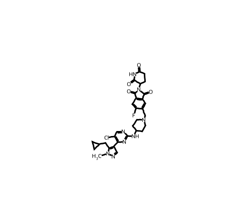 Cn1ncc(-c2nc(NC3CCN(Cc4cc5c(cc4F)C(=O)N(C4CCC(=O)NC4=O)C5=O)CC3)ncc2Cl)c1CC1CC1